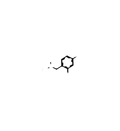 OB(O)Cc1ccc(Cl)cc1Cl